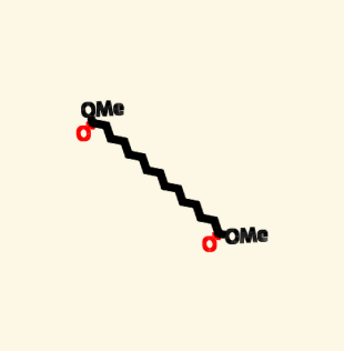 COC(=O)CCCCCCCCCCCCCC(=O)OC